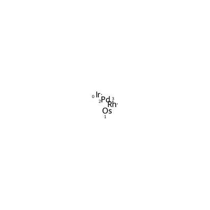 [Ir].[Os].[Pd].[Rh]